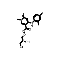 Cc1cc(I)ccc1Nc1cc(=O)n(C)cc1C(=O)NOC[C@@H](O)CO